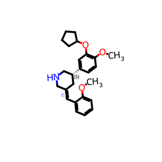 COc1ccccc1/C=C1/CNC[C@H](c2ccc(OC)c(OC3CCCC3)c2)C1